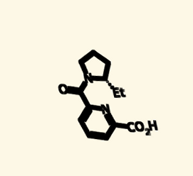 CC[C@H]1CCCN1C(=O)c1cccc(C(=O)O)n1